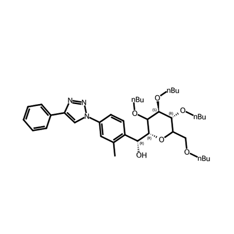 CCCCOCC1O[C@H]([C@H](O)c2ccc(-n3cc(-c4ccccc4)nn3)cc2C)C(OCCCC)[C@@H](OCCCC)[C@@H]1OCCCC